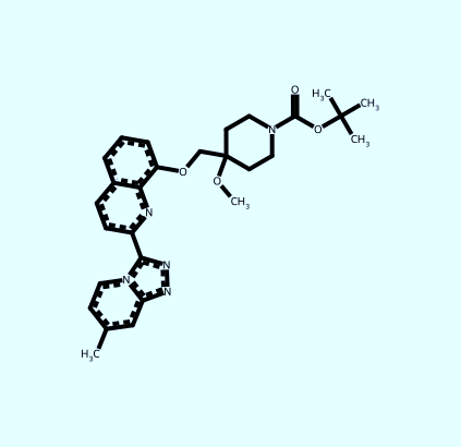 COC1(COc2cccc3ccc(-c4nnc5cc(C)ccn45)nc23)CCN(C(=O)OC(C)(C)C)CC1